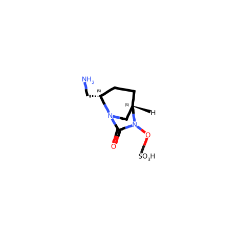 NC[C@@H]1CC[C@H]2CN1C(=O)N2OS(=O)(=O)O